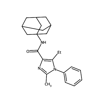 CCc1c(C(=O)NC23CC4CC(CC(C4)C2)C3)nc(C)n1-c1ccccc1